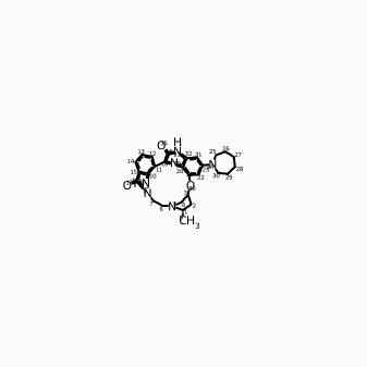 C[C@@H]1CC2CN1CCn1[nH]c3c(cccc3c1=O)-c1nc3c(cc(N4CCCCCC4)cc3[nH]c1=O)O2